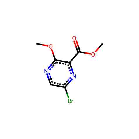 COC(=O)c1nc(Br)cnc1OC